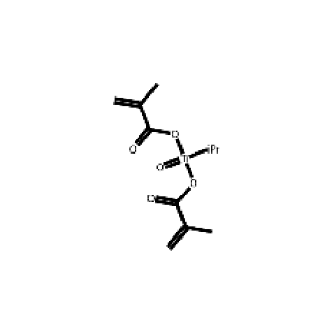 C=C(C)C(=O)[O][Ti](=[O])([O]C(=O)C(=C)C)[CH](C)C